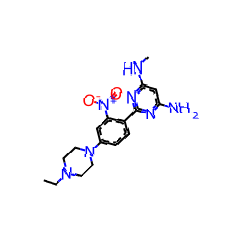 CCN1CCN(c2ccc(-c3nc(N)cc(NC)n3)c([N+](=O)[O-])c2)CC1